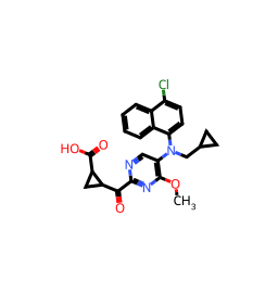 COc1nc(C(=O)C2CC2C(=O)O)ncc1N(CC1CC1)c1ccc(Cl)c2ccccc12